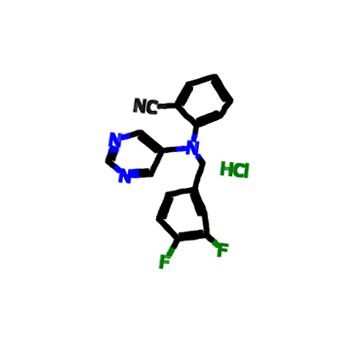 Cl.N#Cc1ccccc1N(Cc1ccc(F)c(F)c1)c1cncnc1